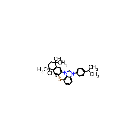 CC(C)c1ccc(N2CN3c4cc5c(cc4Sc4cccc2c43)C(C)(C)CCC5(C)C)cc1